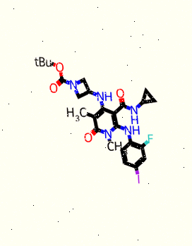 Cc1c(NC2CN(C(=O)OC(C)(C)C)C2)c(C(=O)NC2CC2)c(Nc2ccc(I)cc2F)n(C)c1=O